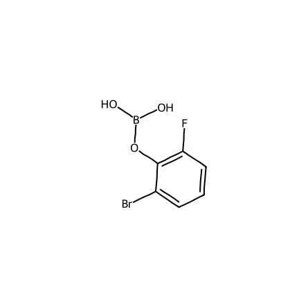 OB(O)Oc1c(F)cccc1Br